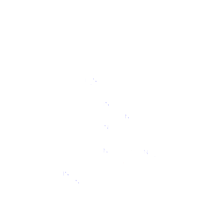 CCOCC(N)CNc1ncc(C(N)=O)c(Nc2cccc3[nH]ncc23)n1